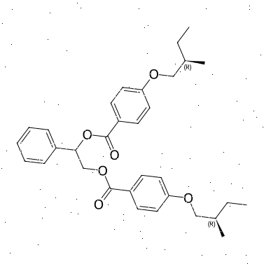 CC[C@@H](C)COc1ccc(C(=O)OCC(OC(=O)c2ccc(OC[C@H](C)CC)cc2)c2ccccc2)cc1